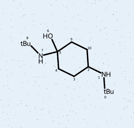 CC(C)(C)NC1CCC(O)(NC(C)(C)C)CC1